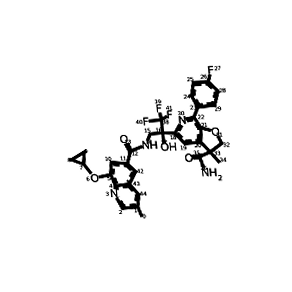 Cc1cnc2c(OC3CC3)cc(C(=O)NCC(O)(c3cc4c(c(-c5ccc(F)cc5)n3)OCC4(C)C(N)=O)C(F)(F)F)cc2c1